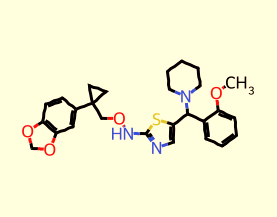 COc1ccccc1C(c1cnc(NOCC2(c3ccc4c(c3)OCO4)CC2)s1)N1CCCCC1